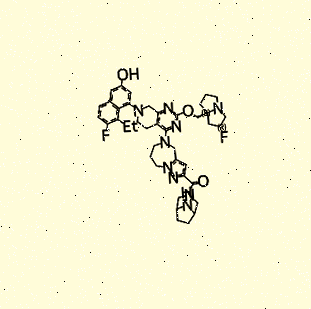 CCc1c(F)ccc2cc(O)cc(N3CCc4c(nc(OC[C@@]56CCCN5C[C@H](F)C6)nc4N4CCCn5nc(C(=O)N6CC7CCC(C6)N7)cc5C4)C3)c12